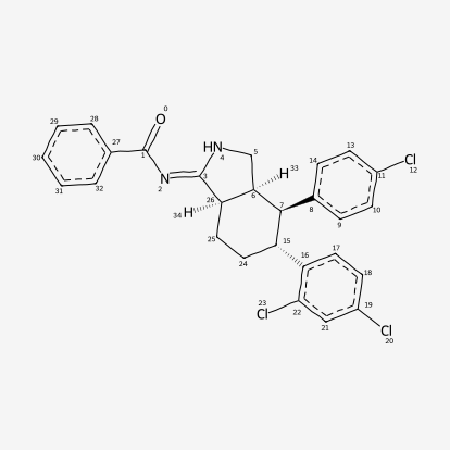 O=C(/N=C1\NC[C@H]2[C@@H](c3ccc(Cl)cc3)[C@H](c3ccc(Cl)cc3Cl)CC[C@@H]12)c1ccccc1